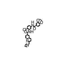 O=C(Nc1ccc(Cl)c(NC(=O)c2ccc3nc(CN4CCC4)ccc3c2)c1)c1ccc2c(c1)OCCO2